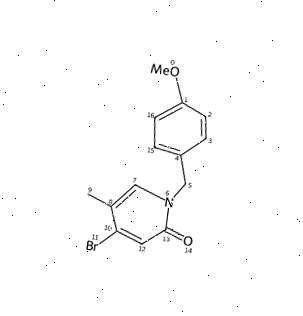 COc1ccc(Cn2cc(C)c(Br)cc2=O)cc1